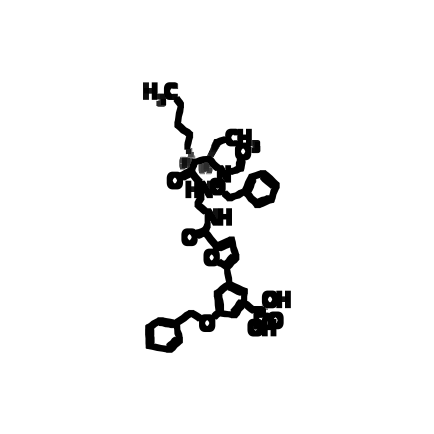 CCCCC[C@@H](C(=O)NCNC(=O)c1ccc(-c2cc(OCc3ccccc3)cc(P(=O)(O)O)c2)o1)[C@@H](CC)N(C=O)OCc1ccccc1